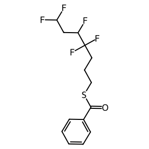 O=C(SCCCC(F)(F)C(F)CC(F)F)c1ccccc1